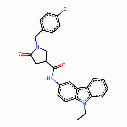 CCn1c2ccccc2c2cc(NC(=O)C3CC(=O)N(Cc4ccc(Cl)cc4)C3)ccc21